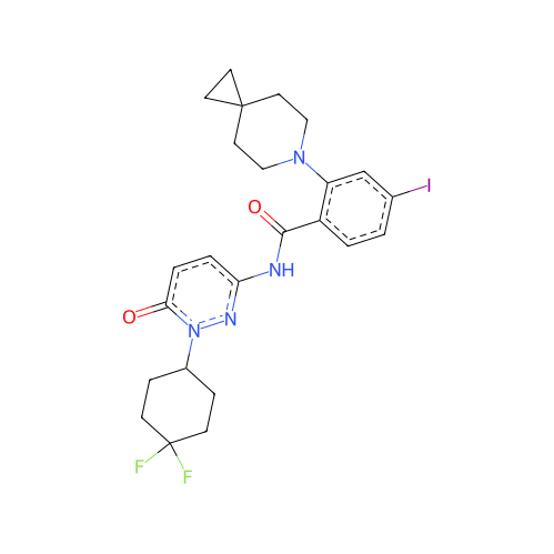 O=C(Nc1ccc(=O)n(C2CCC(F)(F)CC2)n1)c1ccc(I)cc1N1CCC2(CC1)CC2